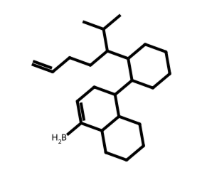 BC1=CCC(C2CCCCC2C(CCC=C)C(C)C)C2CCCCC12